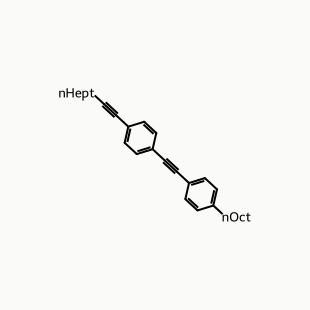 CCCCCCCC#Cc1ccc(C#Cc2ccc(CCCCCCCC)cc2)cc1